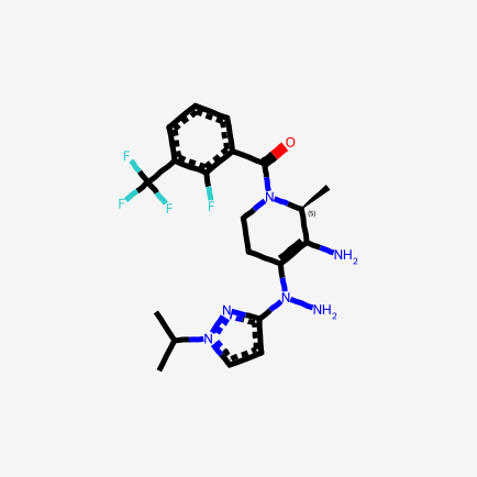 CC(C)n1ccc(N(N)C2=C(N)[C@H](C)N(C(=O)c3cccc(C(F)(F)F)c3F)CC2)n1